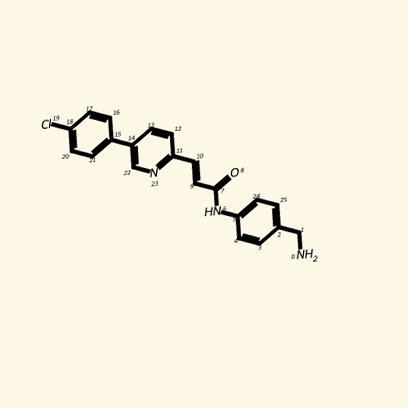 NCc1ccc(NC(=O)C=Cc2ccc(-c3ccc(Cl)cc3)cn2)cc1